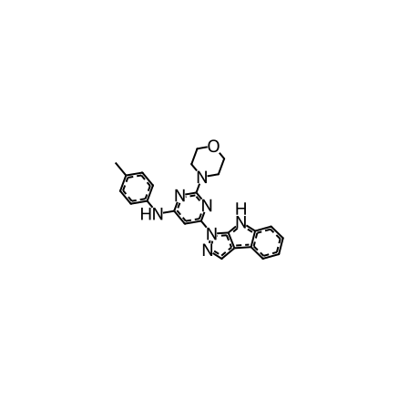 Cc1ccc(Nc2cc(-n3ncc4c5ccccc5[nH]c43)nc(N3CCOCC3)n2)cc1